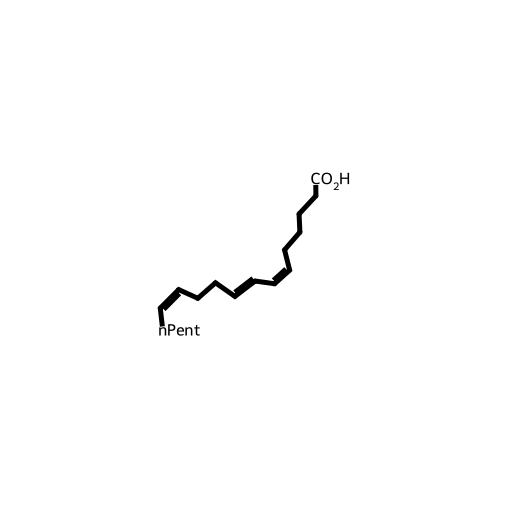 CCCCC/C=C\CC/C=C/C=C\CCCCC(=O)O